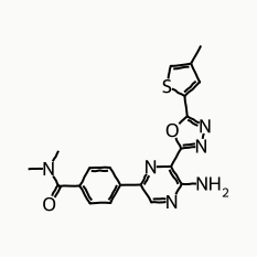 Cc1csc(-c2nnc(-c3nc(-c4ccc(C(=O)N(C)C)cc4)cnc3N)o2)c1